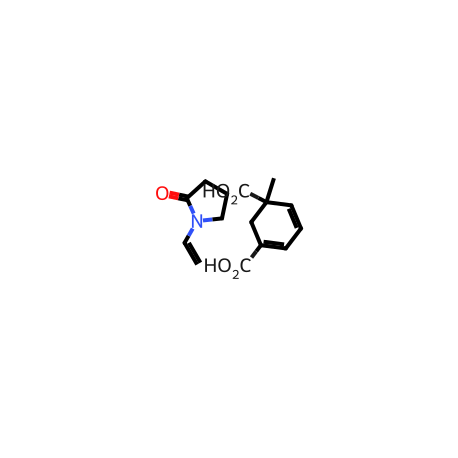 C=CN1CCCC1=O.CC1(C(=O)O)C=CC=C(C(=O)O)C1